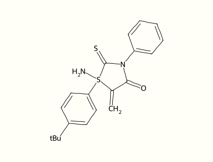 C=C1C(=O)N(c2ccccc2)C(=S)S1(N)c1ccc(C(C)(C)C)cc1